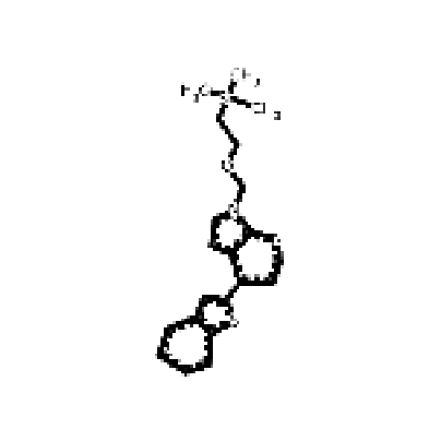 C[Si](C)(C)CCOCn1ccc2c(-c3cc4ccccc4s3)ccnc21